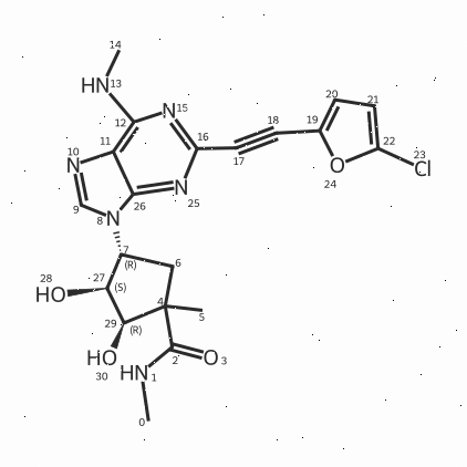 CNC(=O)C1(C)C[C@@H](n2cnc3c(NC)nc(C#Cc4ccc(Cl)o4)nc32)[C@H](O)[C@@H]1O